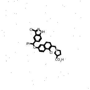 CC(C)C(Oc1ccc2c(c1)CCC(CN1CCC(C(=O)O)C1)=C2Cl)c1ccc2[nH]nc(Cl)c2c1